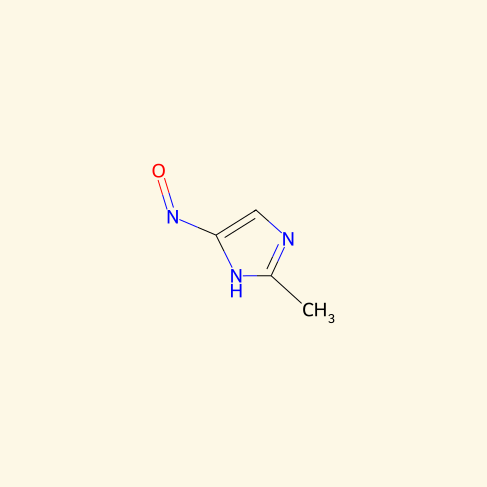 Cc1ncc(N=O)[nH]1